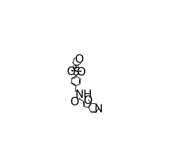 O=C(NCc1ccc(S(=O)(=O)[C@H]2CCOC2)cc1)c1cc2ccncc2o1